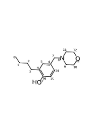 CCCCc1cc(CN2CCOCC2)ccc1O